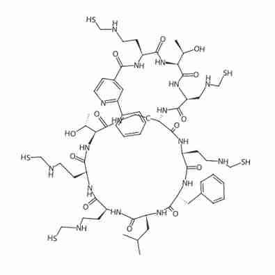 CC(C)C[C@@H]1NC(=O)[C@@H](Cc2ccccc2)NC(=O)[C@H](CCNCS)NC(=O)[C@@H](NC(=O)[C@H](CNCS)NC(=O)[C@@H](NC(=O)[C@H](CCNCS)NC(=O)c2ccnc(-c3ccccc3)c2)[C@@H](C)O)CCNC(=O)[C@H]([C@@H](C)O)NC(=O)[C@H](CCNCS)NC(=O)[C@H](CCNCS)NC1=O